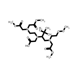 COOCCN(CC(=O)OC)CC(N(CCN(CC(=O)OC)CC(=O)OC)CC(=O)O)C(C)(C)C